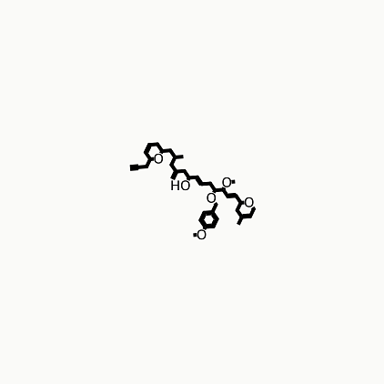 C#CCC1C=CCC(CC(C)CC(=C)CC(O)C=CCC(OCc2ccc(OC)cc2)C(C=CC2CC(C)=CCO2)OC)O1